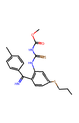 CCCSc1ccc(C(=N)c2ccc(C)cc2)c(NC(=S)NC(=O)OC)c1